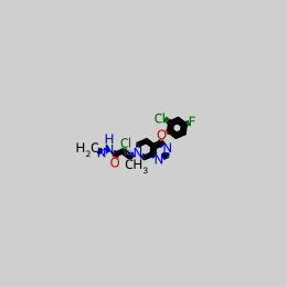 C=NNC(=O)/C(Cl)=C(\C)N1CCc2c(ncnc2Oc2ccc(F)cc2Cl)C1